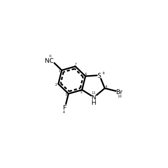 N#Cc1cc(F)c2c(c1)SC(Br)N2